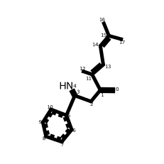 C=C(CC(=N)c1ccccc1)/C(C)=C/C=C(C)C